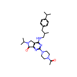 CC(=O)N1CCN(c2nc(NCC(C)Cc3ccc(C(C)C)cc3)c3c(n2)C(=O)N(C(C)C)C3)CC1